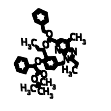 CCCc1cc(Cn2c(CC)nc3c(C)cc(C(=O)OCc4ccccc4)nc32)ccc1OC(C(=O)OC(C)(C)C)c1ccccc1